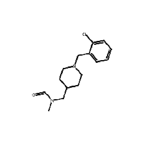 CN(C=O)CC1CCN(Cc2ccccc2Cl)CC1